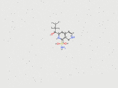 CC(C)C(C)(C)C(=O)c1cc2c(c(S(N)(=O)=O)n1)CNC=C2